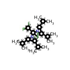 Cc1cc(C)cc(-c2ccc3c(c2)c2cc(-c4cc(C)cc(C)c4)ccc2n3-c2cc(-c3cc(F)cc(F)c3)cc(-n3c4ccc(-c5cc(C)cc(C)c5)cc4c4cc(-c5cc(C)cc(C)c5)ccc43)c2C(F)(F)F)c1